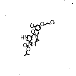 COCCCOc1cc(CN(C(=O)[C@@H]2CNC[C@H](NC(=O)OCC(C)C)C2)C2CC2)cc(OC)c1